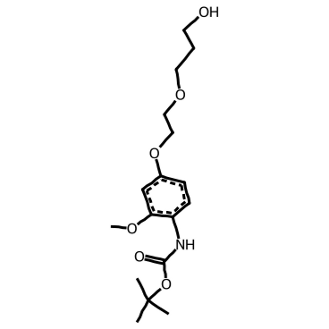 COc1cc(OCCOCCCO)ccc1NC(=O)OC(C)(C)C